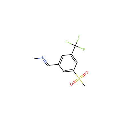 C/N=C/c1cc(C(F)(F)F)cc(S(C)(=O)=O)c1